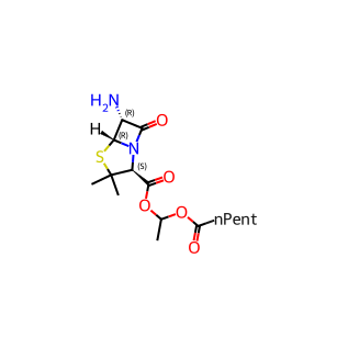 CCCCCC(=O)OC(C)OC(=O)[C@@H]1N2C(=O)[C@@H](N)[C@H]2SC1(C)C